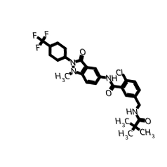 Cn1c2ccc(NC(=O)c3cc(CNC(=O)C(C)(C)C)ccc3Cl)cc2c(=O)n1C1CCC(C(F)(F)F)CC1